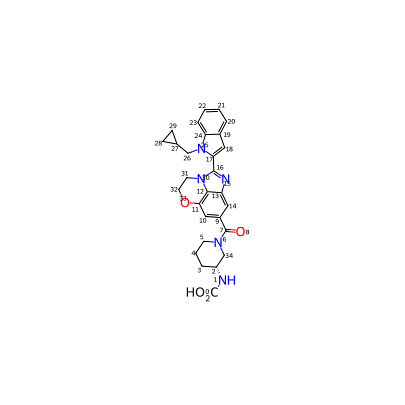 O=C(O)N[C@@H]1CCCN(C(=O)c2cc3c4c(c2)nc(-c2cc5ccccc5n2CC2CC2)n4CCO3)C1